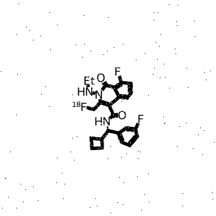 CCNn1c(C[18F])c(C(=O)N[C@H](c2cccc(F)c2)C2CCC2)c2cccc(F)c2c1=O